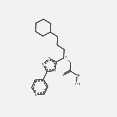 O=C(C[C@@H](CCCC1CCCCC1)c1nc(-c2ccncc2)no1)NO